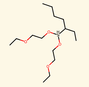 CCCCC(CC)[SiH](OCCOCC)OCCOCC